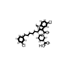 Cn1c(CCCCCCc2cccc(Cl)c2)c(C(=O)N2CCC[C@@H](C(=O)O)C2)c2cc(Cl)ccc21